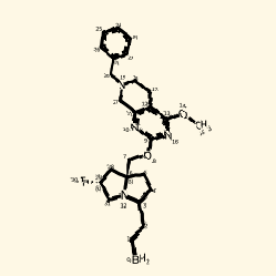 BCCC1CC[C@@]2(COc3nc4c(c(OC)n3)CCN(Cc3ccccc3)C4)C[C@@H](F)CN12